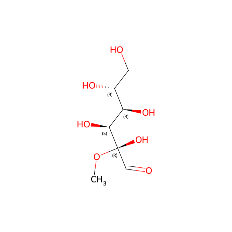 CO[C@@](O)(C=O)[C@@H](O)[C@H](O)[C@H](O)CO